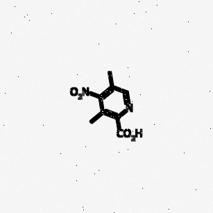 Cc1cnc(C(=O)O)c(C)c1[N+](=O)[O-]